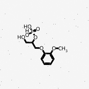 COc1ccccc1OCC(CO)OP(=O)(O)O